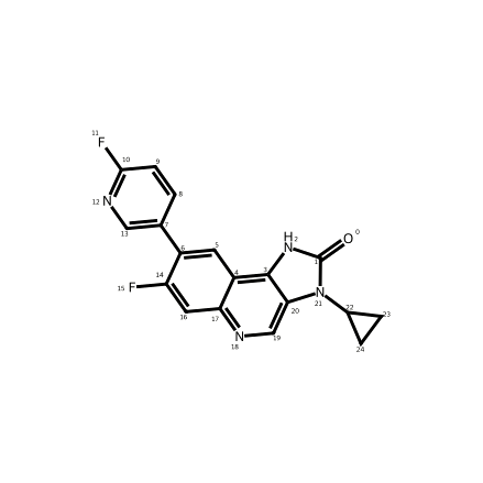 O=c1[nH]c2c3cc(-c4ccc(F)nc4)c(F)cc3ncc2n1C1CC1